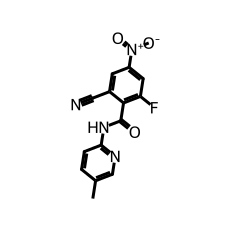 Cc1ccc(NC(=O)c2c(F)cc([N+](=O)[O-])cc2C#N)nc1